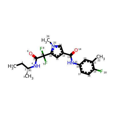 CC[C@@H](C)NC(=O)C(F)(F)c1cc(C(=O)Nc2ccc(F)c(C)c2)cn1C